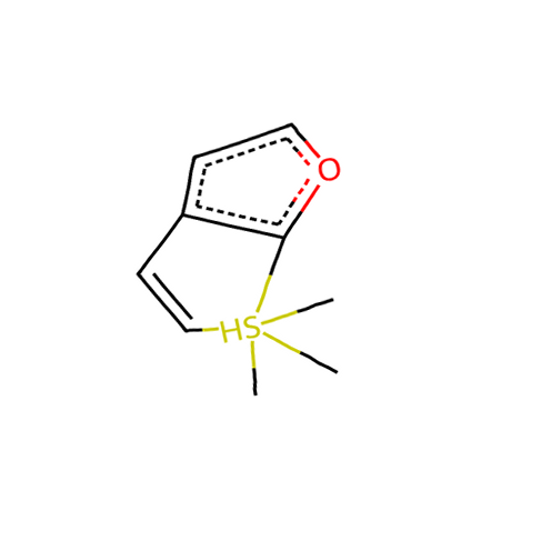 C[SH]1(C)(C)C=Cc2ccoc21